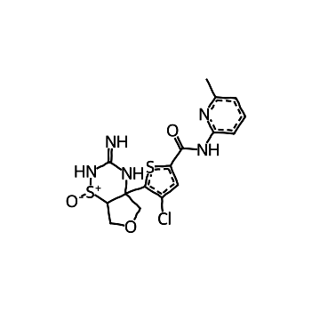 Cc1cccc(NC(=O)c2cc(Cl)c(C34COCC3[S+]([O-])NC(=N)N4)s2)n1